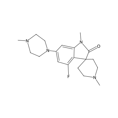 CN1CCN(c2cc(F)c3c(c2)N(C)C(=O)C32CCN(C)CC2)CC1